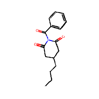 [CH2]CCCC1CC(=O)N(C(=O)c2ccccc2)C(=O)C1